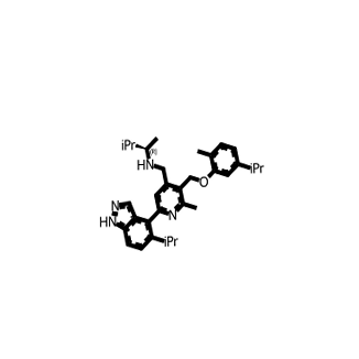 Cc1ccc(C(C)C)cc1OCc1c(CN[C@H](C)C(C)C)cc(-c2c(C(C)C)ccc3[nH]ncc23)nc1C